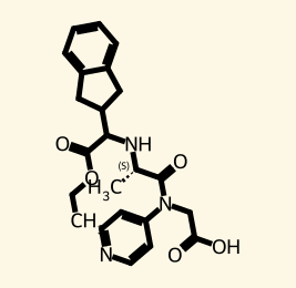 CCOC(=O)C(N[C@@H](C)C(=O)N(CC(=O)O)c1ccncc1)C1Cc2ccccc2C1